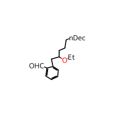 CCCCCCCCCCCCCC(Cc1ccccc1C=O)OCC